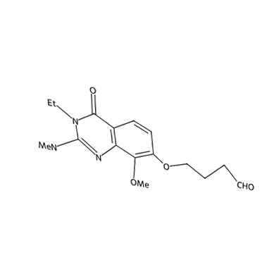 CCn1c(NC)nc2c(OC)c(OCCCC=O)ccc2c1=O